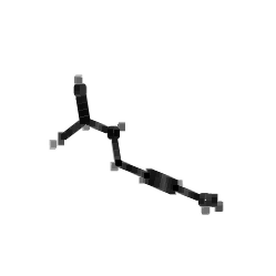 CC#CCOC(=O)I